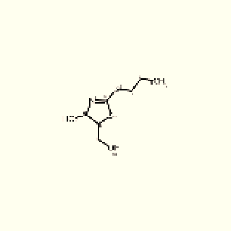 CCCSC1=NC(O)C(CO)S1